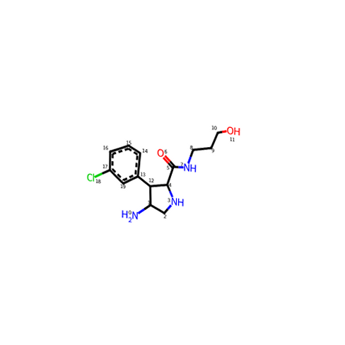 NC1CNC(C(=O)NCCCO)C1c1cccc(Cl)c1